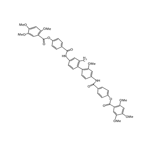 COc1cc(OC)c(C(=O)Oc2ccc(C(=O)Nc3ccc(-c4ccc(NC(=O)c5ccc(OC(=O)c6cc(OC)c(OC)cc6OC)cc5)cc4OC)c(C)c3)cc2)cc1OC